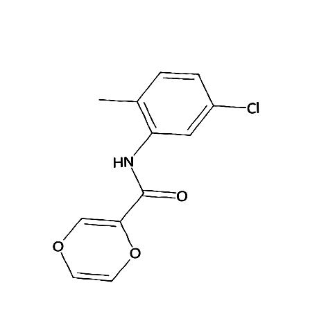 Cc1ccc(Cl)cc1NC(=O)C1=COC=CO1